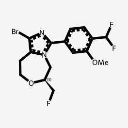 COc1cc(-c2nc(Br)c3n2C[C@@H](CF)OCC3)ccc1C(F)F